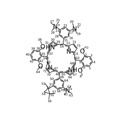 COc1cccc(OC)c1-c1c2nc(c(-c3cc([N+](C)(C)C)cc([N+](C)(C)C)c3)c3ccc([nH]3)c(-c3c(OC)cccc3OC)c3nc(c(-c4cc(C5(C)CC5(C)C)cc([N+](C)(C)C)c4)c4ccc1[nH]4)C=C3)C=C2